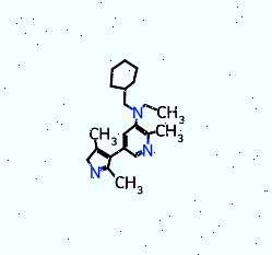 CCN(CC1CCCCC1)c1cc(C2=C(C)CN=C2C)cnc1C